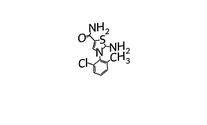 Cc1cccc(Cl)c1N1C=C(C(N)=O)SC1N